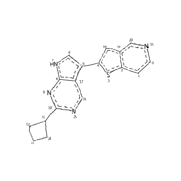 c1cc2sc(-c3c[nH]c4nc(C5CCC5)ncc34)cc2cn1